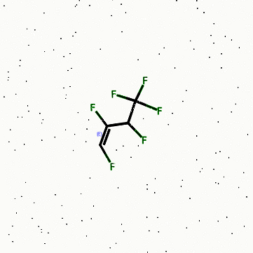 F/C=C(/F)C(F)C(F)(F)F